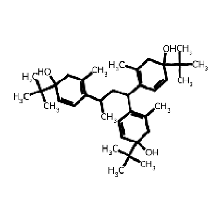 CC1=C(C(C)CC(C2=C(C)CC(O)(C(C)(C)C)C=C2)C2=C(C)CC(O)(C(C)(C)C)C=C2)C=CC(O)(C(C)(C)C)C1